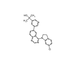 CC(C)(O)c1cncc(-c2ccc3ncnc(N4CCc5ccc(Cl)cc54)c3c2)c1